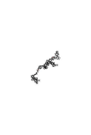 CC1(C)CCC(CN2CCN(c3ccc(C(=O)NS(=O)(=O)c4ccc(NCC5CCN(CCCCCCC#Cc6cccc7c6CN(C6CCC(=O)NC6=O)C7=O)CC5)c([N+](=O)[O-])c4)c(Oc4cnc5[nH]ccc5c4)c3)CC2)=C(c2ccc(Cl)cc2)C1